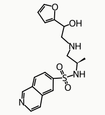 C[C@H](CNCC(O)c1ccco1)NS(=O)(=O)c1ccc2cnccc2c1